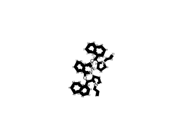 C=CCN1CCCC1[C@H](Oc1nnc(OC(c2cccc3ccccc23)[C@@H]2CCCN2CC=C)c2ccccc12)c1cccc2ccccc12